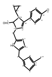 O=CC1N(Cc2nnc(Cc3cccc(F)c3)[nH]2)N=C(c2ccc(Cl)cc2)N1C1CC1